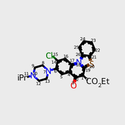 CCOC(=O)c1c(=O)c2cc(N3CCN(C(C)C)CC3)c(Cl)cc2n2c1sc1ccccc12